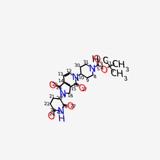 CC(C)(C)OC(=O)N1CCC(n2ccc3c(c2=O)CN([C@H]2CCC(=O)NC2=O)C3=O)CC1